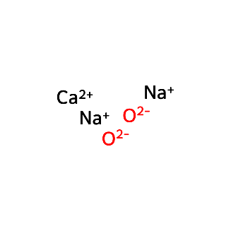 [Ca+2].[Na+].[Na+].[O-2].[O-2]